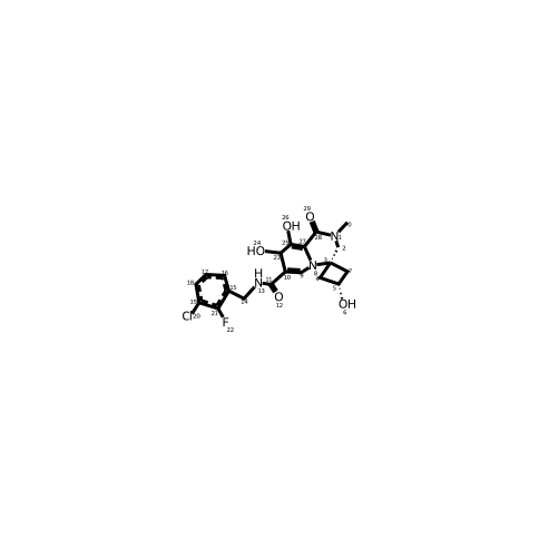 CN1C[C@]2(C[C@@H](O)C2)N2C=C(C(=O)NCc3cccc(Cl)c3F)C(O)C(O)=C2C1=O